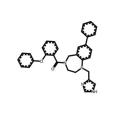 O=C(c1ccccc1Oc1ccccc1)N1CCN(Cc2c[nH]cn2)c2ccc(-c3ccccc3)cc2C1